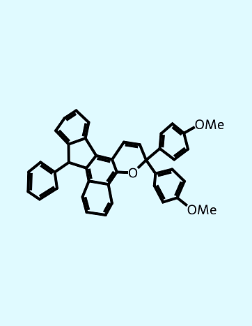 COc1ccc(C2(c3ccc(OC)cc3)C=Cc3c4c(c5ccccc5c3O2)C(c2ccccc2)c2ccccc2-4)cc1